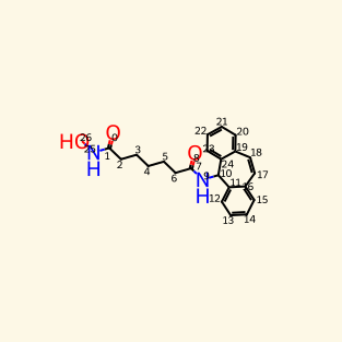 O=C(CCCCCC(=O)NC1c2ccccc2C=Cc2ccccc21)NO